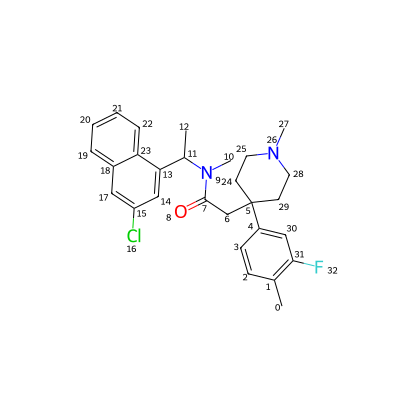 Cc1ccc(C2(CC(=O)N(C)C(C)c3cc(Cl)cc4ccccc34)CCN(C)CC2)cc1F